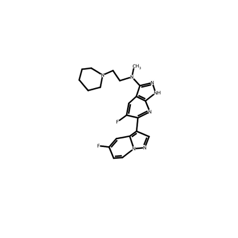 CN(CCN1CCCCC1)c1n[nH]c2nc(-c3cnn4ccc(F)cc34)c(F)cc12